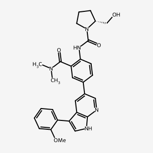 COc1ccccc1-c1c[nH]c2ncc(-c3ccc(NC(=O)N4CCC[C@@H]4CO)c(C(=O)N(C)C)c3)cc12